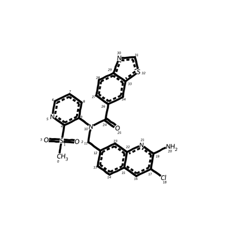 CS(=O)(=O)c1ncccc1N(Cc1ccc2cc(Cl)c(N)nc2c1)C(=O)c1ccc2ncsc2c1